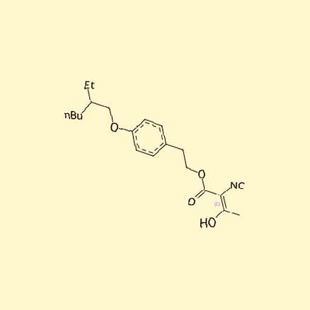 [C-]#[N+]/C(C(=O)OCCc1ccc(OCC(CC)CCCC)cc1)=C(\C)O